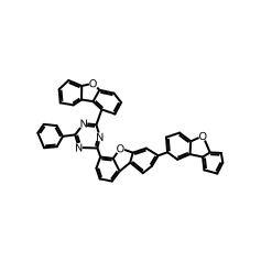 c1ccc(-c2nc(-c3cccc4c3oc3cc(-c5ccc6oc7ccccc7c6c5)ccc34)nc(-c3cccc4oc5ccccc5c34)n2)cc1